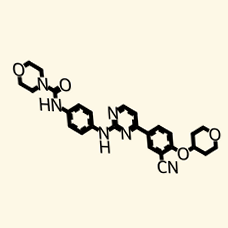 N#Cc1cc(-c2ccnc(Nc3ccc(NC(=O)N4CCOCC4)cc3)n2)ccc1OC1CCOCC1